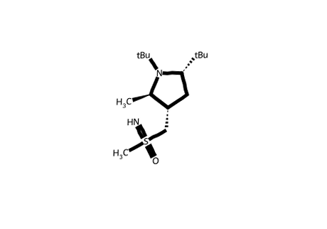 C[C@@H]1[C@@H](CS(C)(=N)=O)C[C@@H](C(C)(C)C)N1C(C)(C)C